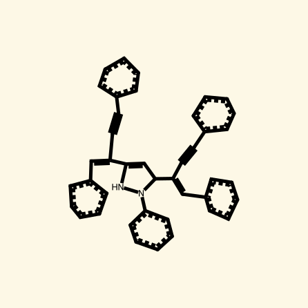 C(#Cc1ccccc1)C(=Cc1ccccc1)C1=CC(C(C#Cc2ccccc2)=Cc2ccccc2)N(c2ccccc2)N1